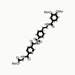 COC(=O)CNC(=O)c1ccc(C(=O)NS(=O)(=O)c2ccc(CCNC(=O)c3ccc(OC)c(OC)c3)cc2)cn1